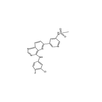 CS(=O)(=O)Nc1cncc(-c2ccc3ncnc(Nc4ccc(F)c(Cl)c4)c3n2)c1